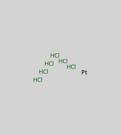 Cl.Cl.Cl.Cl.Cl.Cl.[Pt]